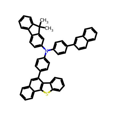 CC1(C)c2ccccc2-c2ccc(N(c3ccc(-c4ccc5ccccc5c4)cc3)c3ccc(-c4cc5ccccc5c5sc6ccccc6c45)cc3)cc21